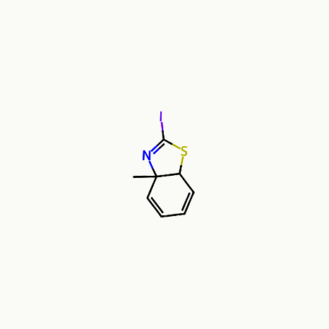 CC12C=CC=CC1SC(I)=N2